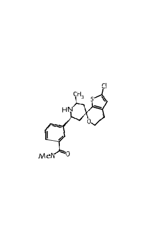 CNC(=O)c1cccc([C@@H]2C[C@]3(C[C@H](C)N2)OCCc2cc(Cl)sc23)c1